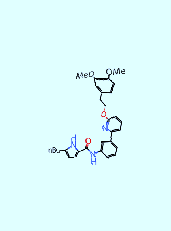 CCCCc1ccc(C(=O)Nc2cccc(-c3cccc(OCCc4ccc(OC)c(OC)c4)n3)c2)[nH]1